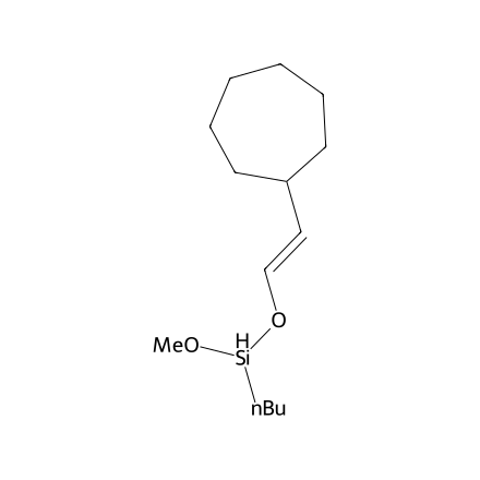 CCCC[SiH](OC)OC=CC1CCCCCC1